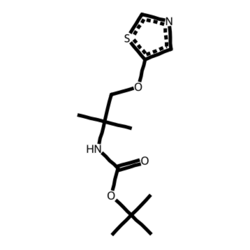 CC(C)(COc1cncs1)NC(=O)OC(C)(C)C